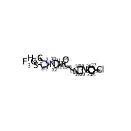 C=C/C=C(\C=C/CSC(F)(F)F)N1CCN(C(=O)CCCN2CCN(c3ccc(Cl)cc3)CC2)CC1